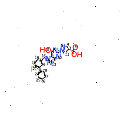 O=C(O)c1cnn(-c2nc(O)c3c(cnn3Cc3ccc(F)c(-c4ccccc4)c3)n2)c1